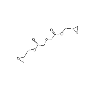 O=C(COCC(=O)OCC1CO1)OCC1CO1